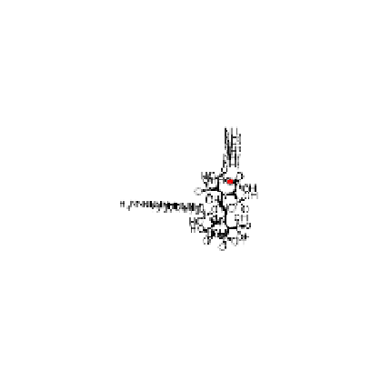 N.N.N.N.N.N.N.N.N.N.N.N.N.N.N.N.O=P(O)(O)C(N(CCN(C(P(=O)(O)O)P(=O)(O)O)C(P(=O)(O)O)P(=O)(O)O)C(P(=O)(O)O)P(=O)(O)O)P(=O)(O)O